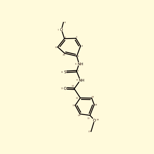 COc1ccc(NC(=S)NC(=O)c2ccc(OC)cc2)cc1